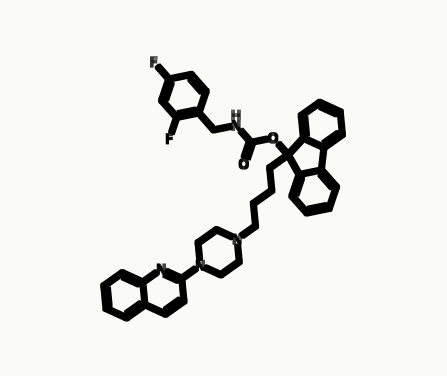 O=C(NCc1ccc(F)cc1F)OC1(CCCCN2CCN(c3ccc4ccccc4n3)CC2)c2ccccc2-c2ccccc21